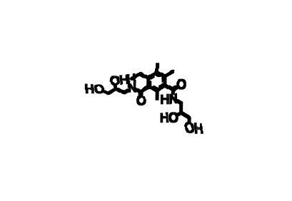 CCc1c(C)c(C)c(C(=O)NCC(O)CO)c(C)c1C(=O)NCC(O)CO